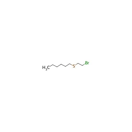 CCCCCCSCCBr